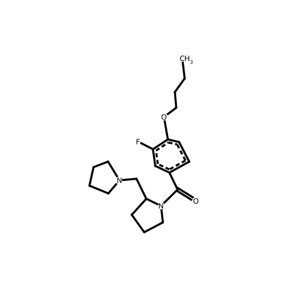 CCCCOc1ccc(C(=O)N2CCCC2CN2CCCC2)cc1F